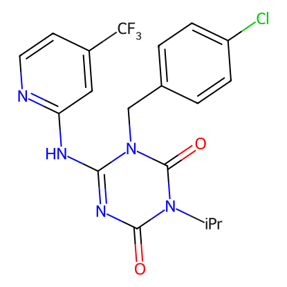 CC(C)n1c(=O)nc(Nc2cc(C(F)(F)F)ccn2)n(Cc2ccc(Cl)cc2)c1=O